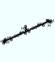 O=CNc1cc(C(=O)NCCCOCCOCCOCCCNC(=O)CCCCC2SCC3NC(=O)NC32)cc(C(=O)NCCCOCCOCCOCCCNC(=O)CCCCC2SCC3NC(=O)NC32)c1